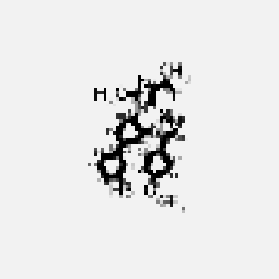 Cc1nc(C(C)F)cn1-c1ccc(-c2cccc(S)c2)cc1-n1nncc1-c1ccc(OC(F)(F)F)cc1